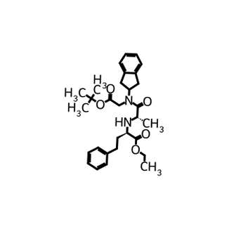 CCOC(=O)[C@@H](CCc1ccccc1)N[C@@H](C)C(=O)N(CC(=O)OC(C)(C)C)C1Cc2ccccc2C1